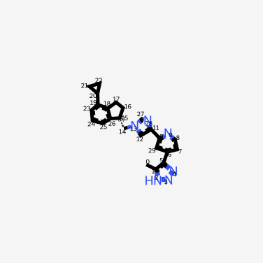 Cc1[nH]nnc1-c1ccnc(-c2cn(C[C@H]3CCc4c(C5CC5)cccc43)cn2)c1